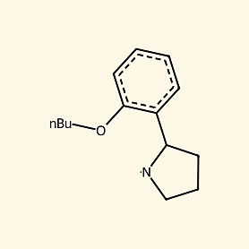 CCCCOc1ccccc1C1CCC[N]1